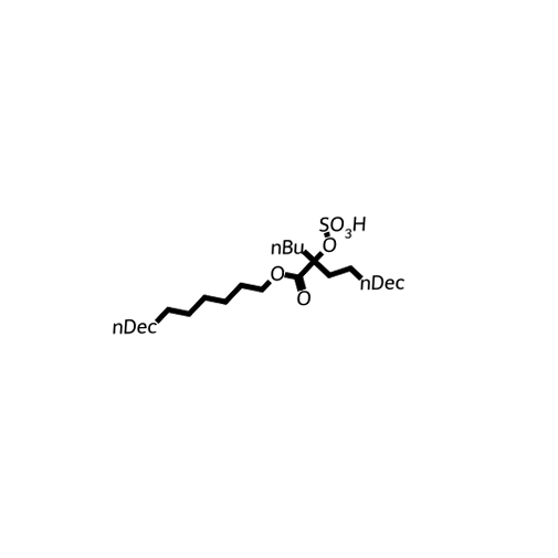 CCCCCCCCCCCCCCCCOC(=O)C(CCCC)(CCCCCCCCCCCC)OS(=O)(=O)O